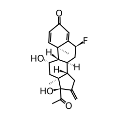 C=C1C[C@H]2[C@@H]3C[C@H](F)C4=CC(=O)C=C[C@]4(C)[C@H]3[C@@H](O)C[C@]2(C)[C@@]1(O)C(C)=O